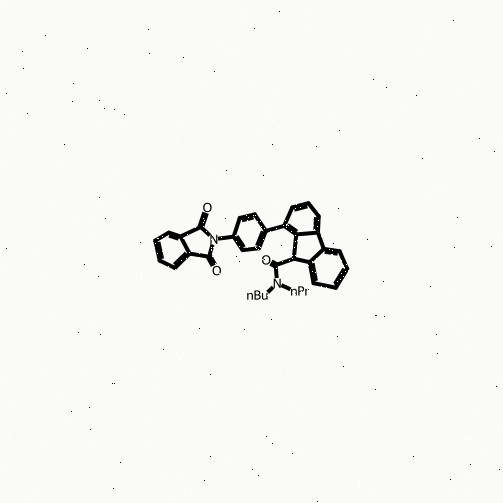 CCCCN(CCC)C(=O)C1c2ccccc2-c2cccc(-c3ccc(N4C(=O)c5ccccc5C4=O)cc3)c21